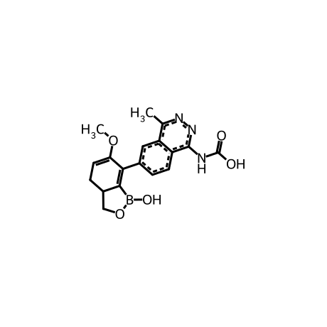 COC1=CCC2COB(O)C2=C1c1ccc2c(NC(=O)O)nnc(C)c2c1